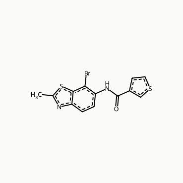 Cc1nc2ccc(NC(=O)c3ccsc3)c(Br)c2s1